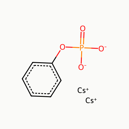 O=P([O-])([O-])Oc1ccccc1.[Cs+].[Cs+]